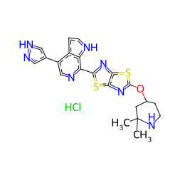 CC1(C)CC(Oc2nc3sc(-c4ncc(-c5cn[nH]c5)c5cc[nH]c45)nc3s2)CCN1.Cl